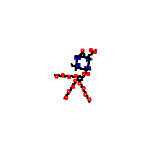 CCC1=C(C)c2cc3[nH]c(cc4nc(c5c6[nH]c(cc1n2)c(C)c6C(=O)C5)[C@@H](CCC(=O)OC)[C@@H]4C)c(C)c3C(=O)OCc1cc(OCCOCCOCCOC)c(OCCOCCOCCOC)c(OCCOCCOCCOC)c1